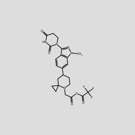 Cn1nc(N2CCC(=O)NC2=O)c2ccc(C3CCN(CC(=O)OC(=O)C(F)(F)F)C4(CC4)C3)cc21